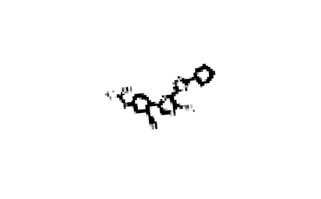 CC(C)Sc1ccc(-c2cnc(N)c(-c3nnc(-c4ccccc4)o3)n2)c(C#N)c1